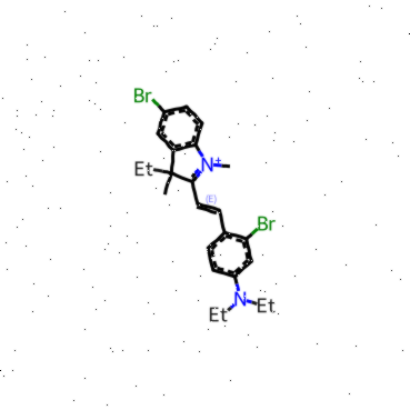 CCN(CC)c1ccc(/C=C/C2=[N+](C)c3ccc(Br)cc3C2(C)CC)c(Br)c1